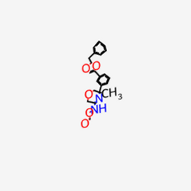 CC1(c2cccc(C3=COC(Cc4ccccc4)O3)c2)COCC(NOC=O)=N1